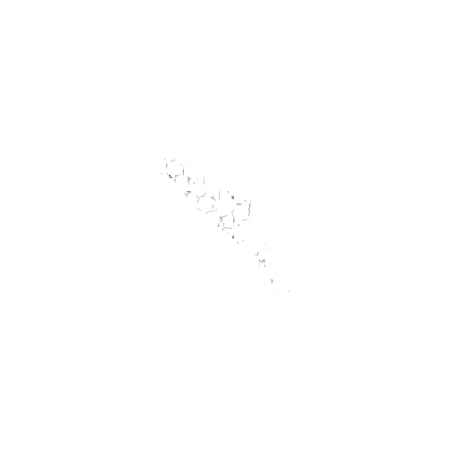 Nc1nccn2c(N3CCCC(C(=O)NC[C@@H]4CCCO4)C3)nc(-c3ccc(C(=O)Nc4ccccn4)cc3)c12